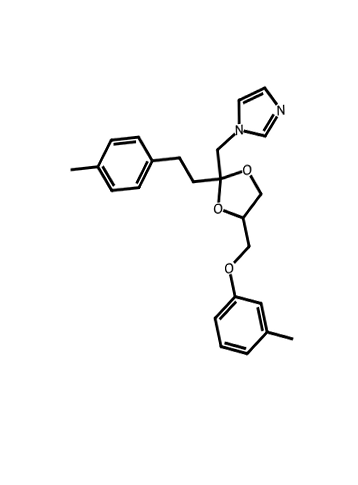 Cc1ccc(CCC2(Cn3ccnc3)OCC(COc3cccc(C)c3)O2)cc1